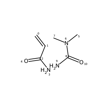 C=CC(N)=O.CN(C)C(N)=O